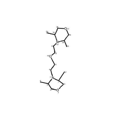 CC1COCC(C)N1CCOCCN1C(C)COCC1C